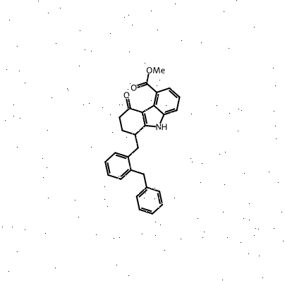 COC(=O)c1cccc2[nH]c3c(c12)C(=O)CCC3Cc1ccccc1Cc1ccccc1